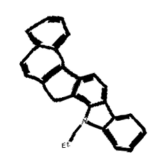 CCn1c2ccccc2c2ccc3c(c21)Cc1ccc2ccccc2c1-3